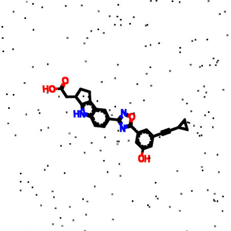 O=C(O)CC1CCc2c1[nH]c1ccc(-c3noc(-c4cc(O)cc(C#CC5CC5)c4)n3)cc21